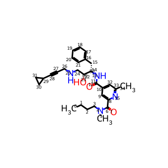 CCCCN(C)C(=O)c1cc(C(=O)N[C@@H](Cc2ccccc2)[C@H](O)CNCC#CC2CC2)cc(C)n1